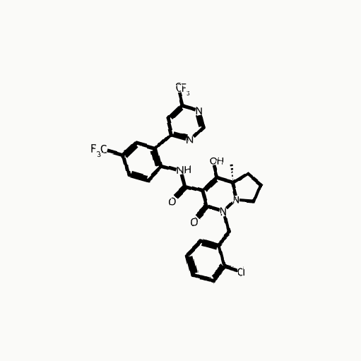 C[C@]12CCCN1N(Cc1ccccc1Cl)C(=O)C(C(=O)Nc1ccc(C(F)(F)F)cc1-c1cc(C(F)(F)F)ncn1)=C2O